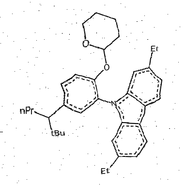 CCCC(c1ccc(OC2CCCCO2)c(-n2c3cc(CC)ccc3c3ccc(CC)cc32)c1)C(C)(C)C